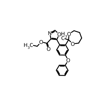 CCOC(=O)c1ncoc1-c1ccc(Oc2ccccc2)cc1C1(C)OCCCCO1